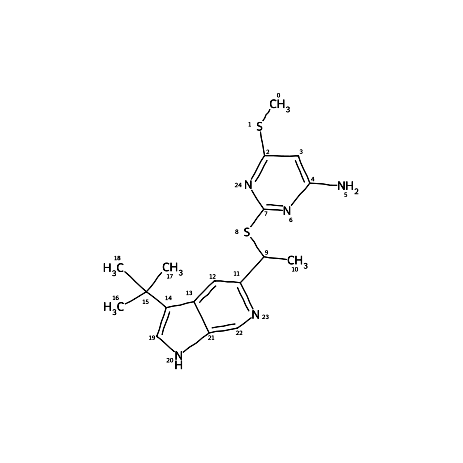 CSc1cc(N)nc(SC(C)c2cc3c(C(C)(C)C)c[nH]c3cn2)n1